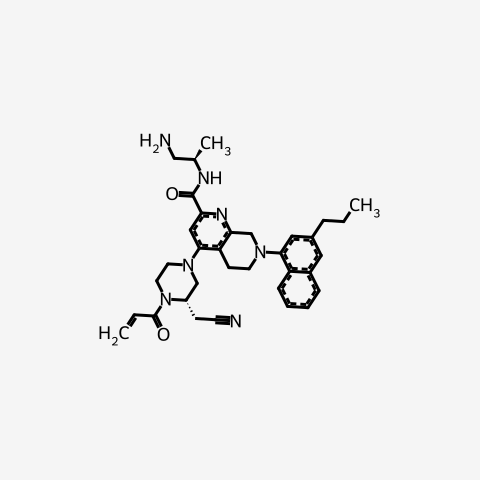 C=CC(=O)N1CCN(c2cc(C(=O)N[C@H](C)CN)nc3c2CCN(c2cc(CCC)cc4ccccc24)C3)C[C@@H]1CC#N